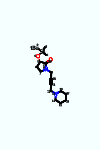 CC(C)(C)[Si](C)(C)O[C@H]1CCN(CC#CCN2CCCCC2)C1=O